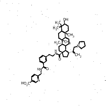 C=C(CN1CCCC1)[C@@H]1CC[C@]2(C(=O)NCCc3cccc(C(=O)NCc4ccc(C(=O)O)cn4)c3)CC[C@]3(C)C(CCC4[C@@]5(C)CC[C@H](O)C(C)(C)C5CC[C@]43C)C12